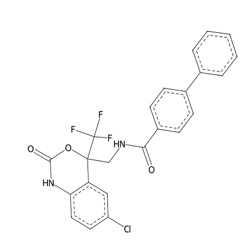 O=C1Nc2ccc(Cl)cc2C(CNC(=O)c2ccc(-c3ccccc3)cc2)(C(F)(F)F)O1